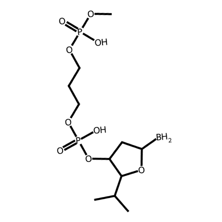 BC1CC(OP(=O)(O)OCCCOP(=O)(O)OC)C(C(C)C)O1